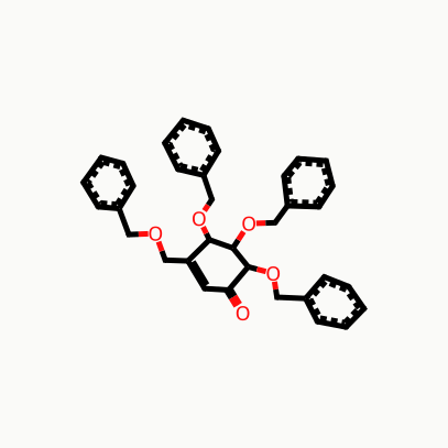 O=C1C=C(COCc2ccccc2)C(OCc2ccccc2)C(OCc2ccccc2)C1OCc1ccccc1